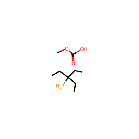 CCC(P)(CC)CC.COC(=O)O